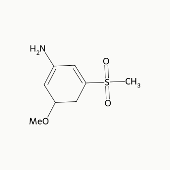 COC1C=C(N)C=C(S(C)(=O)=O)C1